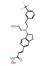 O=C(/C=C/c1ccc2c(c1)CCC2N(CCO)CCc1cccc(C(F)(F)F)c1)NO